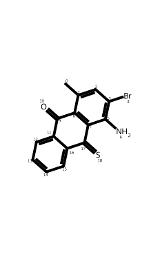 Cc1cc(Br)c(N)c2c1C(=O)c1ccccc1C2=S